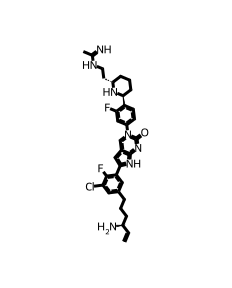 C=C[C@@H](N)CCCc1cc(Cl)c(F)c(-c2cc3cn(-c4ccc([C@@H]5CCC[C@@H](CCNC(C)=N)N5)c(F)c4)c(=O)nc3[nH]2)c1